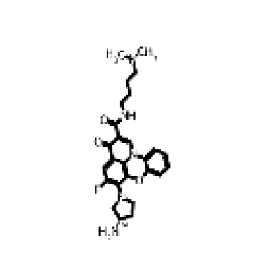 CN(C)CCCCNC(=O)c1cn2c3c(c(N4CC[C@H](N)C4)c(F)cc3c1=O)Oc1ccccc1-2